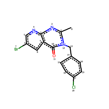 Cc1nc2ncc(Br)cc2c(=O)n1Cc1ccc(Cl)cc1